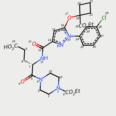 CCOC(=O)N1CCN(C(=O)[C@H](CCC(=O)O)NC(=O)c2cc(OC3(C(=O)OCC)CCC3)n(-c3cccc(Cl)c3)n2)CC1